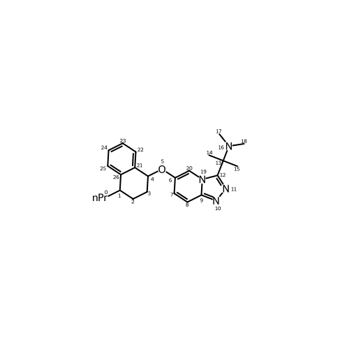 CCCC1CCC(Oc2ccc3nnc(C(C)(C)N(C)C)n3c2)c2ccccc21